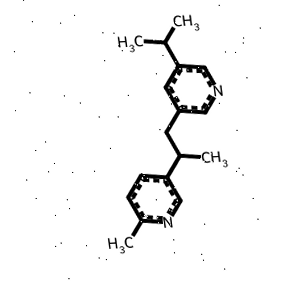 Cc1ccc(C(C)Cc2cncc(C(C)C)c2)cn1